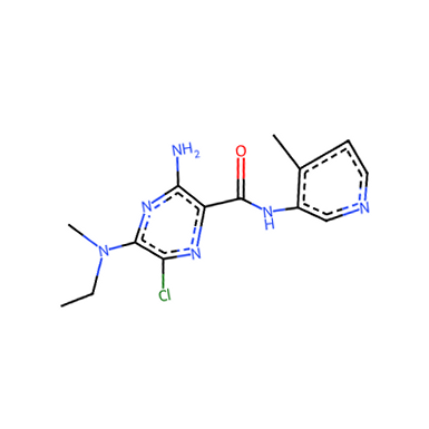 CCN(C)c1nc(N)c(C(=O)Nc2cnccc2C)nc1Cl